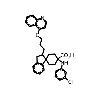 O=C(O)C1(Nc2cccc(Cl)c2)CCC2(CC1)c1ccccc1CC2CCCOc1ccnc2ccccc12